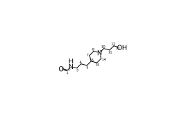 O=[C]NCCCC1CCN(CCCO)CC1